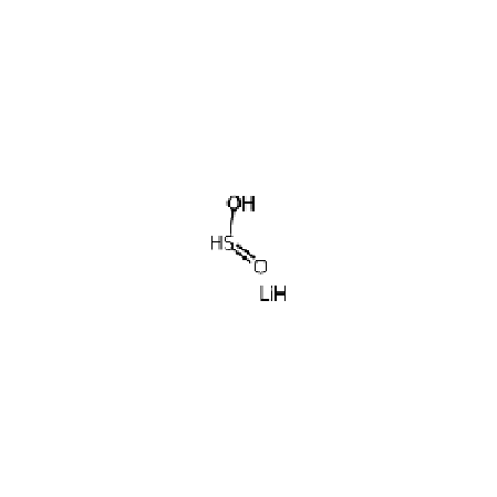 O=[SH]O.[LiH]